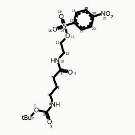 CC(C)(C)OC(=O)NCCCC(=O)NCCOS(=O)(=O)c1ccc([N+](=O)[O-])cc1